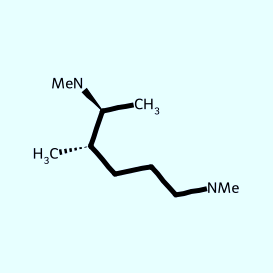 CNCCC[C@H](C)[C@H](C)NC